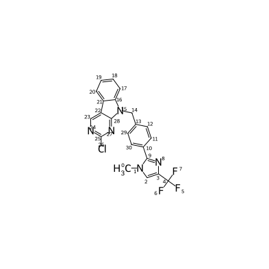 Cn1cc(C(F)(F)F)nc1-c1ccc(Cn2c3ccccc3c3cnc(Cl)nc32)cc1